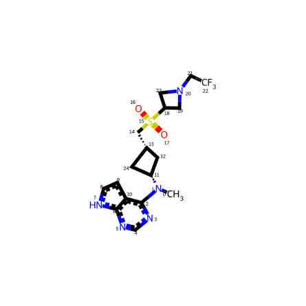 CN(c1ncnc2[nH]ccc12)[C@H]1C[C@@H](CS(=O)(=O)C2CN(CC(F)(F)F)C2)C1